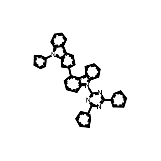 c1ccc(-c2nc(-c3ccccc3)nc(-n3c4ccccc4c4c(-c5ccc6c7ccccc7n(-c7ccccc7)c6c5)cccc43)n2)cc1